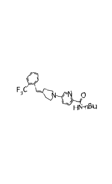 CCCCNC(=O)c1ccc(N2CCC(=Cc3ccccc3C(F)(F)F)CC2)cn1